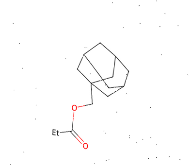 [CH2]CC(=O)OCC12CC3CC(CC(C3)C1)C2